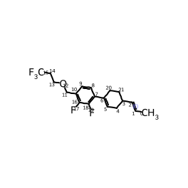 C/C=C/C1CC=C(c2ccc(COCCC(F)(F)F)c(F)c2F)CC1